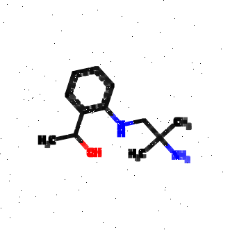 CC(O)c1ccccc1NCC(C)(C)N